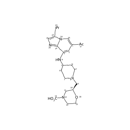 CC(=O)c1cc(NC2CCN(C[C@@H]3CN(C(=O)O)CCO3)CC2)c2ncc(C(C)C)n2c1